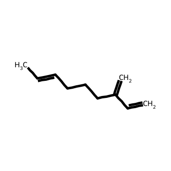 C=CC(=C)CCCC=CC